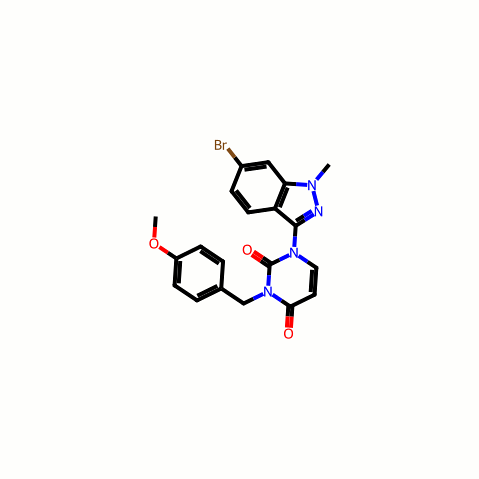 COc1ccc(Cn2c(=O)ccn(-c3nn(C)c4cc(Br)ccc34)c2=O)cc1